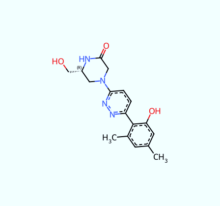 Cc1cc(C)c(-c2ccc(N3CC(=O)N[C@@H](CO)C3)nn2)c(O)c1